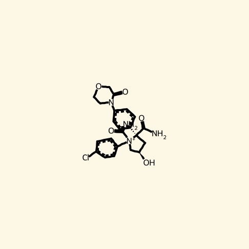 NC(=O)[C@@]1(c2ccc(N3CCOCC3=O)cc2)C[C@@H](O)C[N+]1(C(N)=O)c1ccc(Cl)cc1